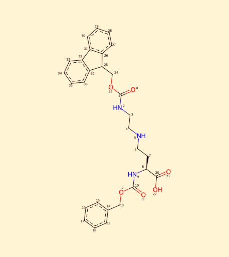 O=C(NCCNCC[C@H](NC(=O)OCc1ccccc1)C(=O)O)OCC1c2ccccc2-c2ccccc21